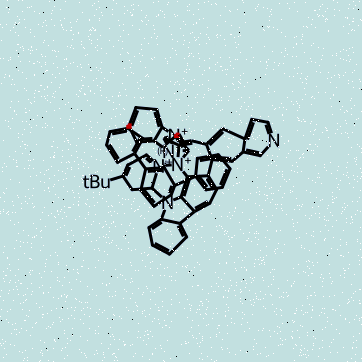 CC(C)(C)C1=CC=[N+]2C(C1)n1c3ccccc3c3ccc4c(c31)[N+]21c2c(cccc2[N+]23c5ccccc5[N@+]2(c2c(-c5ccccc5)cccc2-c2ccccc2)C13)-c1cc2ccncc2cc1-4